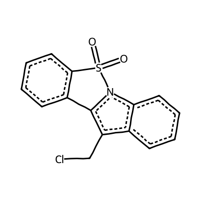 O=S1(=O)c2ccccc2-c2c(CCl)c3ccccc3n21